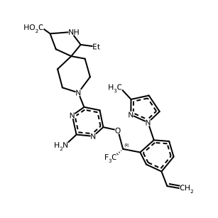 C=Cc1ccc(-n2ccc(C)n2)c([C@@H](Oc2cc(N3CCC4(CC3)CC(C(=O)O)NC4CC)nc(N)n2)C(F)(F)F)c1